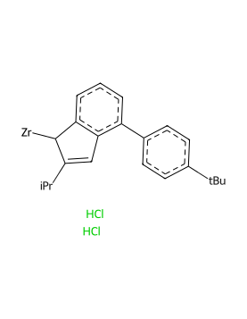 CC(C)C1=Cc2c(-c3ccc(C(C)(C)C)cc3)cccc2[CH]1[Zr].Cl.Cl